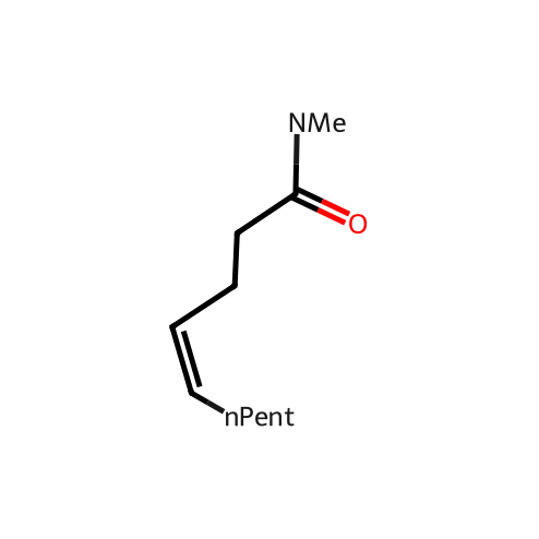 CCCCC/C=C\CCC(=O)NC